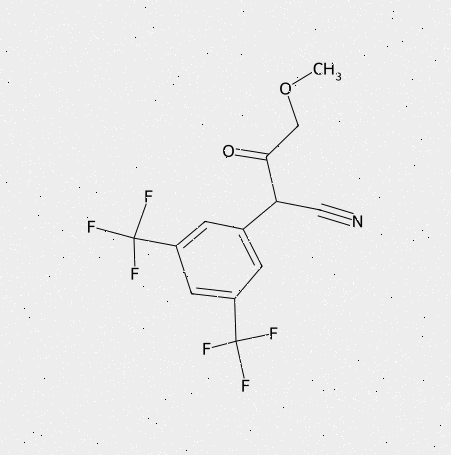 COCC(=O)C(C#N)c1cc(C(F)(F)F)cc(C(F)(F)F)c1